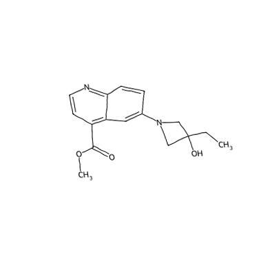 CCC1(O)CN(c2ccc3nccc(C(=O)OC)c3c2)C1